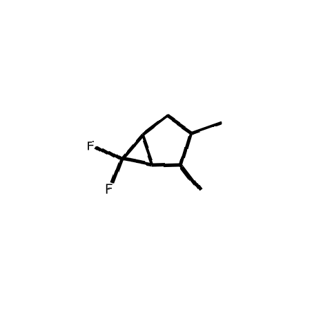 CC1CC2C(C1C)C2(F)F